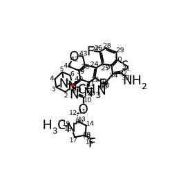 CN1CC2CC(C1)N2c1nc(OC[C@@H]2C[C@@H](F)CN2C)nc2c(F)c(-c3c(F)ccc4sc(N)c(C#N)c34)c3c(c12)COC3